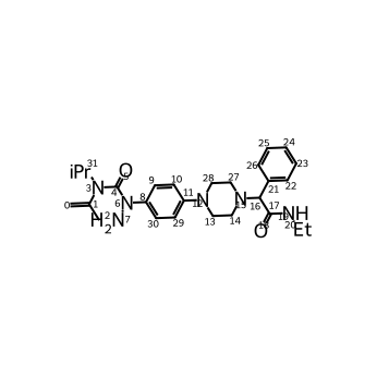 C=C(C)N(C(=O)N(N)c1ccc(N2CCN(C(C(=O)NCC)c3ccccc3)CC2)cc1)C(C)C